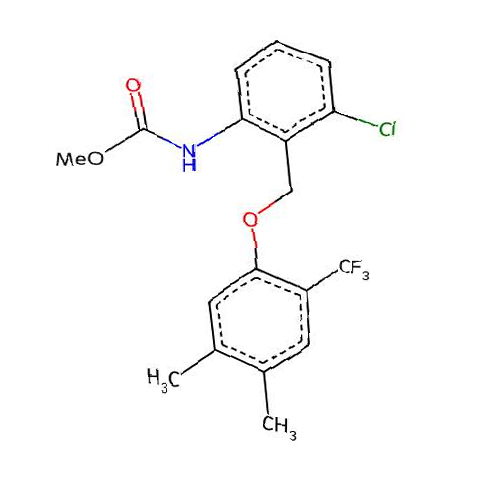 COC(=O)Nc1cccc(Cl)c1COc1cc(C)c(C)cc1C(F)(F)F